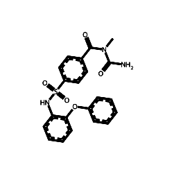 CN(C(N)=O)C(=O)c1ccc(S(=O)(=O)Nc2ccccc2Oc2ccccc2)cc1